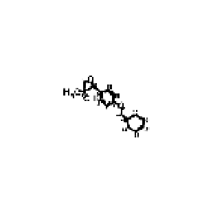 CC1(C)COC1c1ccc(OCC2CC=CCC2)cc1